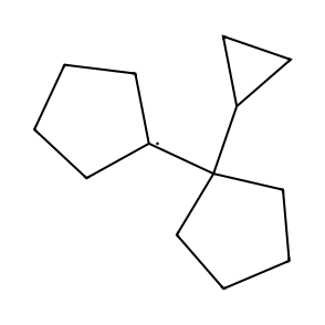 C1CC[C](C2(C3CC3)CCCC2)C1